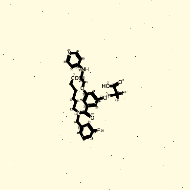 O=C(O)C(F)(F)F.O=C(O)CCCCCN(Cc1cccc(F)c1)C(=O)c1cc(Cl)cc(OCCNc2ccncc2)c1